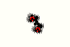 [2H]c1c([2H])c([2H])c(N(c2c([2H])c([2H])c([2H])c([2H])c2[2H])c2c([2H])c([2H])c3c(c2[2H])c2c([2H])c([2H])c([2H])c([2H])c2n3-c2ccc3c4ccc(-n5c6c([2H])c([2H])c([2H])c([2H])c6c6c([2H])c(N(c7c([2H])c([2H])c([2H])c([2H])c7[2H])c7c([2H])c([2H])c([2H])c([2H])c7[2H])c([2H])c([2H])c65)cc4c4ccccc4c3c2)c([2H])c1[2H]